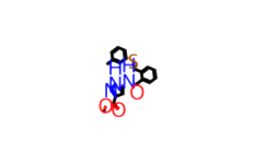 COC(=O)c1cc(NC(=O)c2ccccc2CSc2cccc(C)c2)[nH]n1